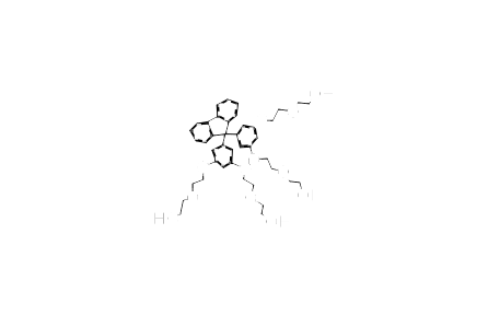 OCCOCCOc1cc(OCCOCCO)cc(C2(c3cc(OCCOCCO)cc(OCCOCCO)c3)c3ccccc3-c3ccccc32)c1